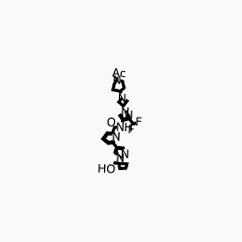 CC(=O)N1CCC(N2CC(n3cc(NC(=O)c4cccc(-c5cnn(C6(CO)CCC6)c5)n4)c(C(F)F)n3)C2)CC1